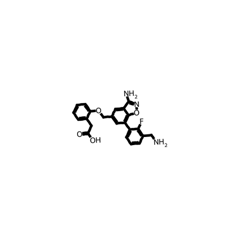 NCc1cccc(-c2cc(COc3ccccc3CC(=O)O)cc3c(N)noc23)c1F